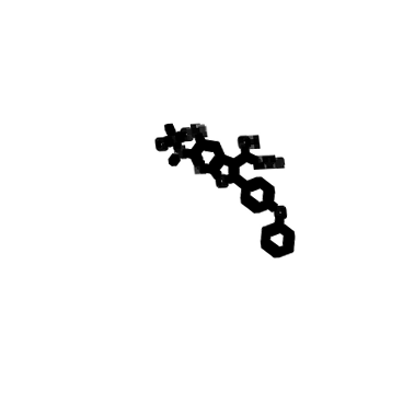 CCc1cc2c(C(O)NC)c(-c3ccc(Oc4ccccc4)cc3)oc2nc1N(C)S(C)(=O)=O